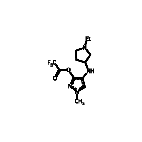 CCN1CCC(Nc2cn(C)nc2OC(=O)C(F)(F)F)C1